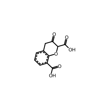 O=C(O)c1cccc2c1OC(C(=O)O)C(=O)C2